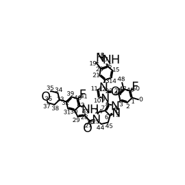 Cc1cc(-n2nc3c(c2-n2ccn(-c4ccc5[nH]ncc5c4)c2=O)CN(C(=O)c2cc4cc(C5CCOCC5)cc(F)c4[nH]2)CC3)cc(C)c1F